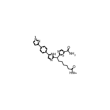 CNC(=O)CCCCCC(c1ncc(-c2ccc(-c3ccn(C)n3)cc2)[nH]1)c1ncc(C(N)=O)s1